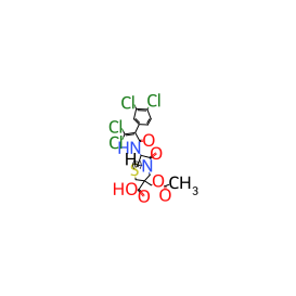 CC(=O)OCC1(C(=O)O)CS[C@@H]2C(NC(=O)C(=C(Cl)Cl)c3ccc(Cl)c(Cl)c3)C(=O)N2C1